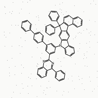 c1ccc(-c2ccc(-c3cc(-c4nc(-c5ccccc5)c5ccccc5n4)cc(-n4c5ccccc5c5cc6c(cc54)C(c4ccccc4)(c4ccccc4)c4ccc5ccccc5c4-6)c3)cc2)cc1